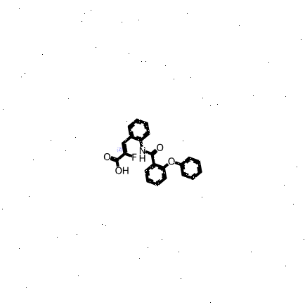 O=C(O)/C(F)=C/c1ccccc1NC(=O)c1ccccc1Oc1ccccc1